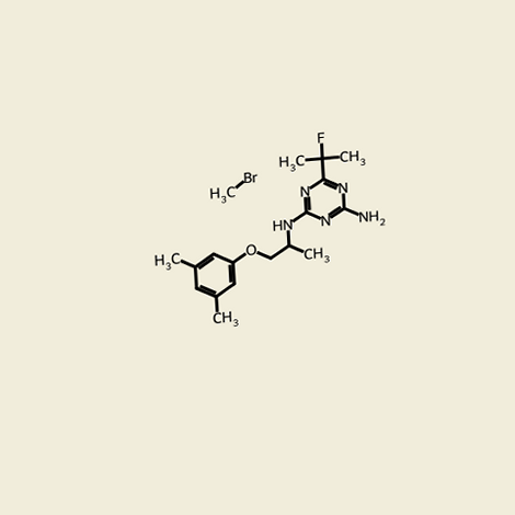 CBr.Cc1cc(C)cc(OCC(C)Nc2nc(N)nc(C(C)(C)F)n2)c1